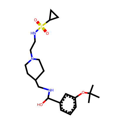 CC(C)(C)Oc1cccc(C(O)NCC2CCN(CCNS(=O)(=O)C3CC3)CC2)c1